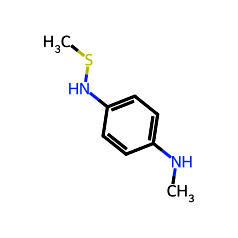 CNc1ccc(NSC)cc1